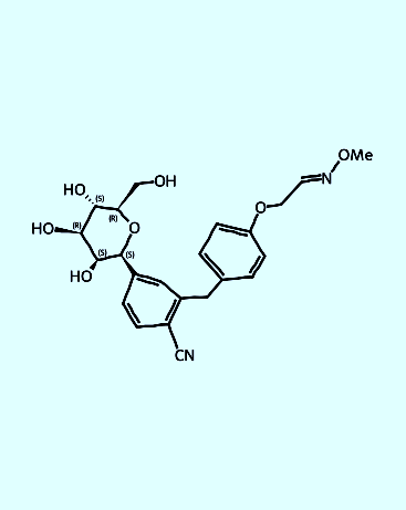 CON=CCOc1ccc(Cc2cc([C@@H]3O[C@H](CO)[C@@H](O)[C@H](O)[C@@H]3O)ccc2C#N)cc1